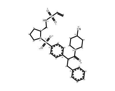 C=CS(=O)(=O)NC[C@@H]1CCCN1S(=O)(=O)c1ccc(C(Cc2ccccc2)C(=O)N2CCC(C#N)CC2)cc1